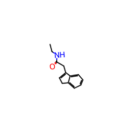 CCNC(=O)CC1=CCc2ccccc21